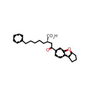 O=C(C[C@@H](CCCCCc1ccccc1)C(=O)O)c1ccc2c3c(oc2c1)CCC3